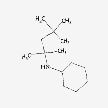 CC(C)(C)CC(C)(C)NC1CCCCC1